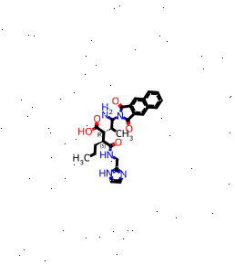 CCC[C@H](C(=O)NCc1ncc[nH]1)[C@H](C(=O)O)C(C)C(N)N1C(=O)c2cc3ccccc3cc2C1=O